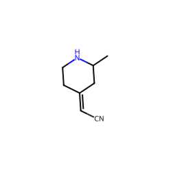 CC1C/C(=C\C#N)CCN1